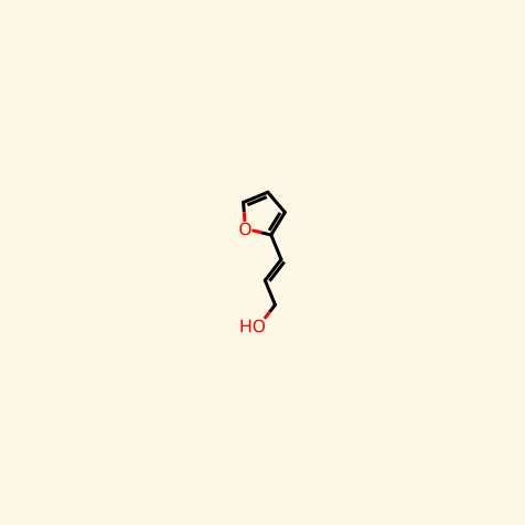 OCC=Cc1ccco1